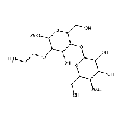 COC1OC(CO)C(OC2OC(CO)C(OC)C(O)C2O)C(O)C1OCCN